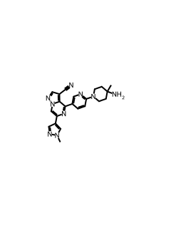 Cn1cc(-c2cn3ncc(C#N)c3c(-c3ccc(N4CCC(C)(N)CC4)nc3)n2)cn1